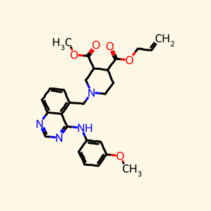 C=CCOC(=O)C1CCN(Cc2cccc3ncnc(Nc4cccc(OC)c4)c23)CC1C(=O)OC